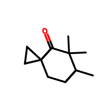 CC1CCC2(CC2)C(=O)C1(C)C